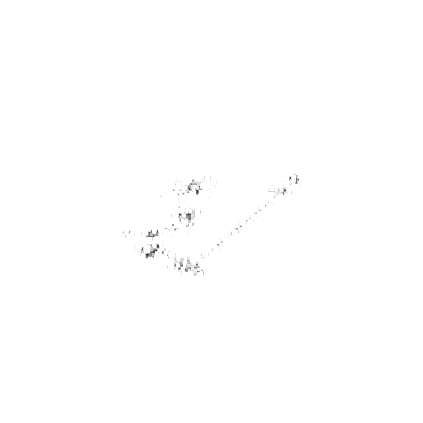 COc1cc2c(cc1OCCCOc1cc3c(cc1OC)C(=O)N1CCC[C@H]1[C@H](O)N3C(=O)OCc1ccc(O[C@@H]3O[C@H](C(=O)O)[C@@H](O)[C@H](O)[C@H]3O)c([N+](=O)[O-])c1)N(C(=O)OCc1ccc(NC(=O)[C@H](C)NC(=O)[C@@H](NC(=O)CCOCCOCCOCCOCCOCCOCCOCCOCCNC(=O)CCN3C(=O)C=CC3=O)C(C)C)cc1)[C@@H](O)[C@@H]1CCCN1C2=O